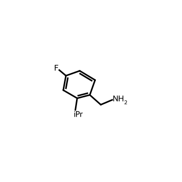 CC(C)c1cc(F)ccc1CN